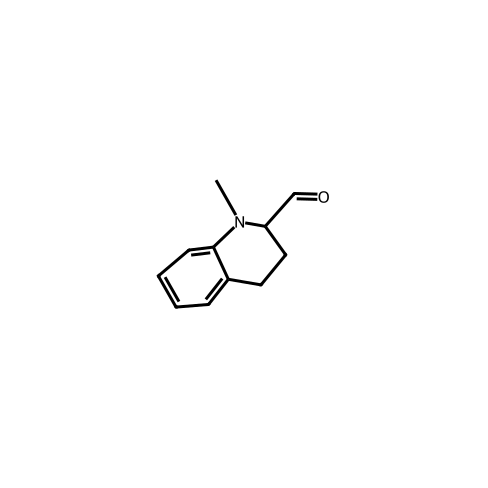 CN1c2ccccc2CCC1C=O